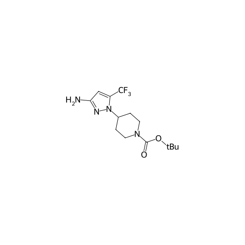 CC(C)(C)OC(=O)N1CCC(n2nc(N)cc2C(F)(F)F)CC1